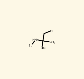 CCNC([SiH3])(CCl)C(C)CC